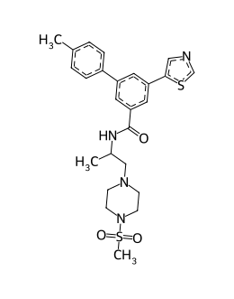 Cc1ccc(-c2cc(C(=O)NC(C)CN3CCN(S(C)(=O)=O)CC3)cc(-c3cncs3)c2)cc1